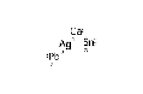 [Ag].[Ca].[Pb].[Sn]